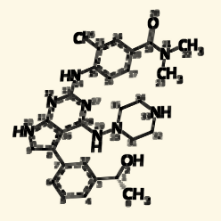 C[C@@H](O)c1cccc(-c2c[nH]c3nc(Nc4ccc(C(=O)N(C)C)cc4Cl)nc(NN4CCNCC4)c23)c1